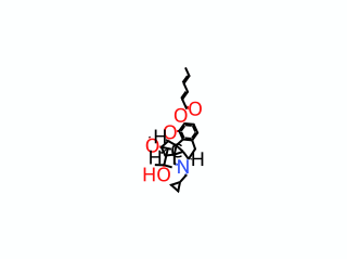 C/C=C/C=C/C(=O)Oc1ccc2c3c1O[C@H]1C4(OC)CC56CN(CC7CC7)[C@H](C2)C5(C[C@@H]4C(C)(C)O)C316